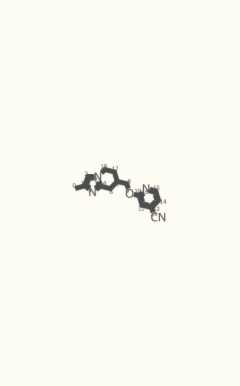 Cc1cn2c(n1)CC(COc1cc(C#N)ccn1)CC2